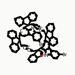 Brc1ccc2[nH]c3c4cc(cc3c2c1)C1(c2ccc(cc2)C2(c3ccccc3-c3ccccc32)c2cc(cc3c2[nH]c2ccc(Br)cc23)C2(c3ccc(cc3)C43c4ccccc4-c4ccccc43)c3ccccc3-c3ccccc32)c2ccccc2-c2ccccc21